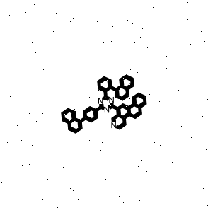 c1ccc(-c2cccc3ccccc23)c(-c2nc(-c3ccc(-c4cccc5ccccc45)cc3)nc(-c3cc4c5ccccc5ccc4c4ccncc34)n2)c1